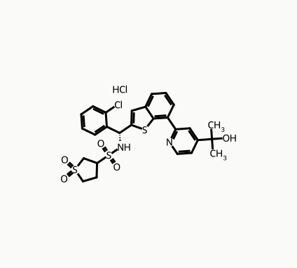 CC(C)(O)c1ccnc(-c2cccc3cc([C@H](NS(=O)(=O)C4CCS(=O)(=O)C4)c4ccccc4Cl)sc23)c1.Cl